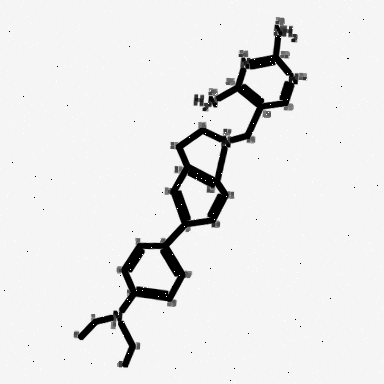 CCN(CC)c1ccc(-c2ccc3c(c2)CCN3Cc2cnc(N)nc2N)cc1